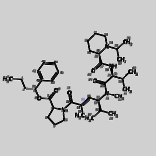 CCC[C@@H](OC(=O)C1CCCN1C(=O)/C(C)=C/[C@H](C(C)C)N(C)C(=O)[C@@H](NC(=O)[C@H]1CCCCN1C(C)C)C(C)C)c1ccccc1